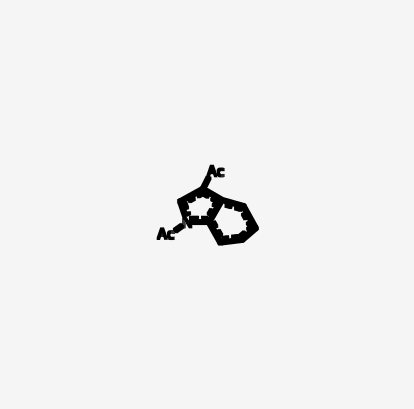 CC(=O)c1cn(C(C)=O)c2ccccc12